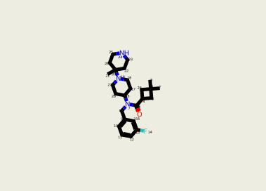 CC1(C)CC(C(=O)N(Cc2cccc(F)c2)C2CCN(C3(C)CCNCC3)CC2)C1